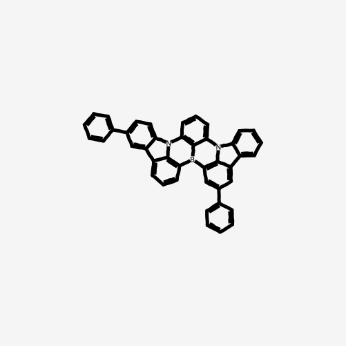 c1ccc(-c2ccc3c(c2)c2cccc4c2n3-c2cccc3c2B4c2cc(-c4ccccc4)cc4c5ccccc5n-3c24)cc1